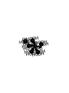 O=C(OC[C@H]1OC(OC(=O)c2cc(O)c(O)c(O)c2)[C@H](OC(=O)c2cc(O)c(O)c(O)c2)[C@@H](OC(=O)c2cc(O)c(O)c(O)c2)[C@@H]1OC(=O)c1cc(O)c(O)c(O)c1)c1cc(O)c(O)c(O)c1.O=c1cc[nH]c(=O)n1F